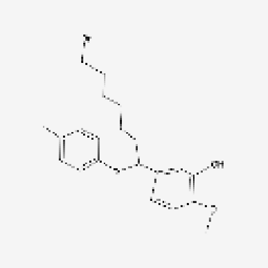 COc1ccc(C(CCCCCCBr)Sc2ccc(C)cc2)cc1O